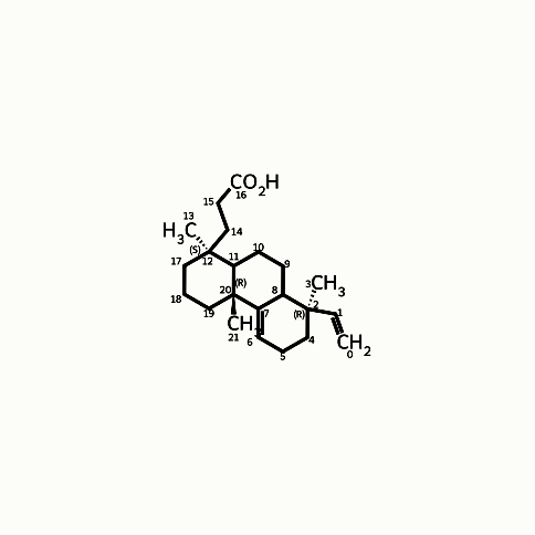 C=C[C@@]1(C)CCC=C2C1CCC1[C@](C)(CCC(=O)O)CCC[C@@]21C